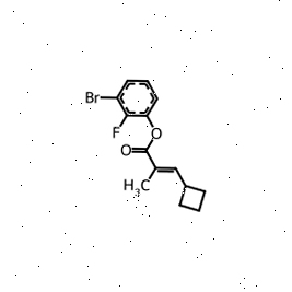 CC(=CC1CCC1)C(=O)Oc1cccc(Br)c1F